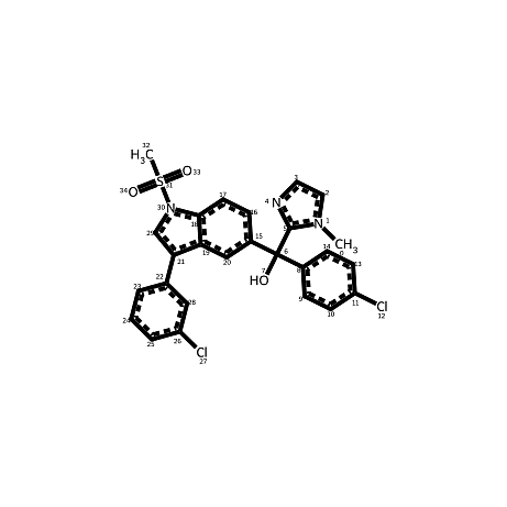 Cn1ccnc1C(O)(c1ccc(Cl)cc1)c1ccc2c(c1)c(-c1cccc(Cl)c1)cn2S(C)(=O)=O